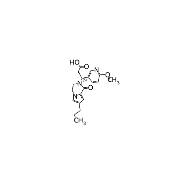 CCCc1cc2n(c1)CCN([C@@H](CC(=O)O)c1ccc(OC)nc1)C2=O